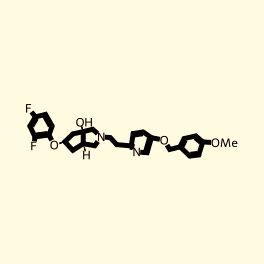 COc1ccc(COc2ccc(CCN3C[C@H]4C[C@H](Oc5ccc(F)cc5F)C[C@@]4(O)C3)nc2)cc1